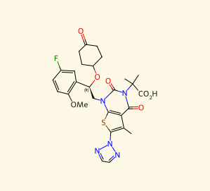 COc1ccc(F)cc1[C@H](Cn1c(=O)n(C(C)(C)C(=O)O)c(=O)c2c(C)c(-n3nccn3)sc21)OC1CCC(=O)CC1